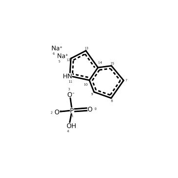 O=P([O-])([O-])O.[Na+].[Na+].c1ccc2[nH]ccc2c1